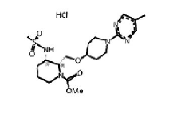 COC(=O)N1CCC[C@H](NS(C)(=O)=O)[C@@H]1COC1CCN(c2ncc(C)cn2)CC1.Cl